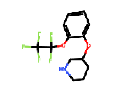 FC(F)(F)C(F)(F)Oc1ccccc1OC1[CH]NCCC1